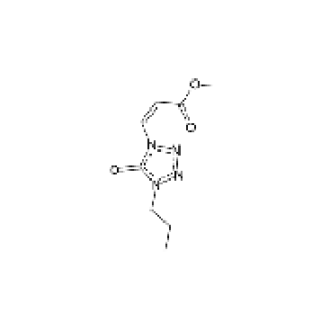 CCCn1nnn(/C=C\C(=O)OC)c1=O